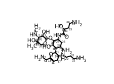 CN[C@@H]1[C@@H](O)[C@@H](O[C@@H]2[C@@H](O)[C@H](C3OC(CN)=CC[C@H]3NCCCN)[C@@H](N)C[C@H]2NC(=O)[C@@H](O)CCN)OC[C@]1(C)O